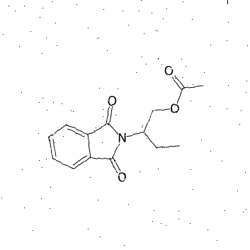 CCC(COC(C)=O)N1C(=O)c2ccccc2C1=O